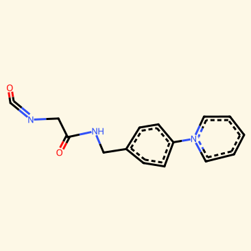 O=C=NCC(=O)NCc1ccc(-[n+]2ccccc2)cc1